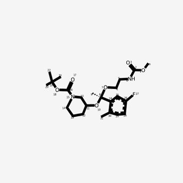 COC(=O)NCCO[C@](C)(OC1CCCN(C(=O)OC(C)(C)C)C1)c1cc(F)ccc1C